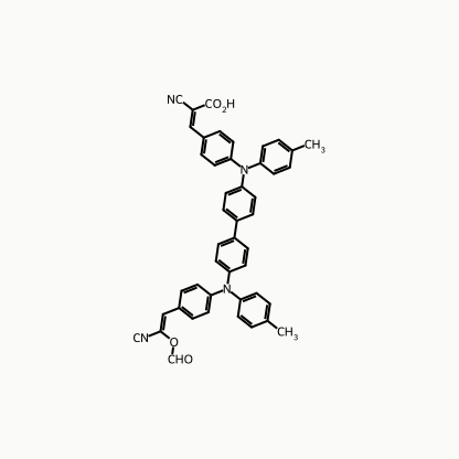 [C-]#[N+]/C(=C/c1ccc(N(c2ccc(C)cc2)c2ccc(-c3ccc(N(c4ccc(C)cc4)c4ccc(/C=C(/C#N)C(=O)O)cc4)cc3)cc2)cc1)OC=O